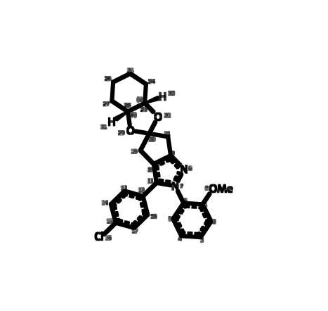 COc1ccccc1-n1nc2c(c1-c1ccc(Cl)cc1)CC1(C2)O[C@H]2CCCC[C@H]2O1